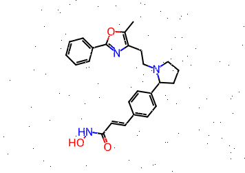 Cc1oc(-c2ccccc2)nc1CCN1CCCC1c1ccc(C=CC(=O)NO)cc1